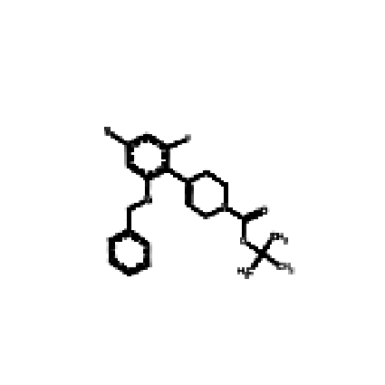 CC(C)(C)OC(=O)N1CC=C(c2c(F)cc(F)cc2OCc2ccccc2)CC1